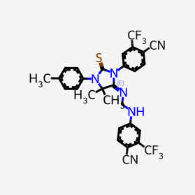 Cc1ccc(N2C(=S)N(c3ccc(C#N)c(C(F)(F)F)c3)/C(=N/CNc3ccc(C#N)c(C(F)(F)F)c3)C2(C)C)cc1